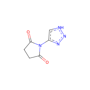 O=C1CCC(=O)N1c1c[nH]nn1